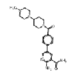 CN1CCN(C2CCN(C(=O)c3ccc(-c4cnc(N)c(C(N)=O)c4)cc3)CC2)CC1